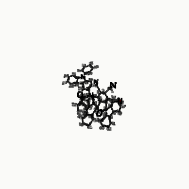 N#Cc1c(C#N)c(N2c3ccccc3Oc3c2ccc2c3c3ccccc3n2-c2ccccc2)c2c(c1C#N)C1(OC23c2ccccc2-c2ccccc23)c2ccccc2-c2ccccc21